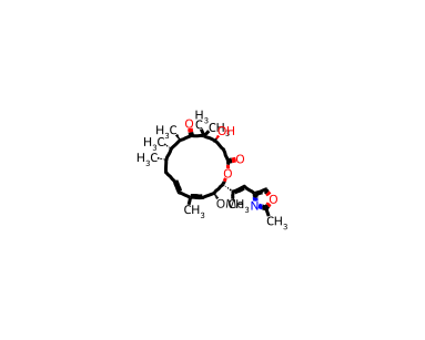 CO[C@H]1/C=C(C)\C=C\C[C@H](C)[C@H](C)[C@@H](C)C(=O)C(C)(C)[C@@H](O)CC(=O)O[C@@H]1/C(C)=C/c1coc(C)n1